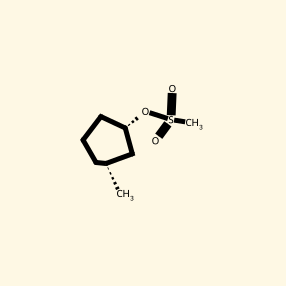 C[C@@H]1CCC[C@H](OS(C)(=O)=O)C1